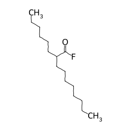 CCCCCCCCC(CCCCCC)C(=O)F